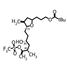 C=C(OS(=O)(=O)C(F)(F)F)[C@H](C)C[C@H](O)CC[C@@H]1OC(CCCOC(=O)C(C)(C)C)CC1=C